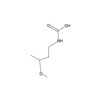 COC(C)CCNC(=O)O